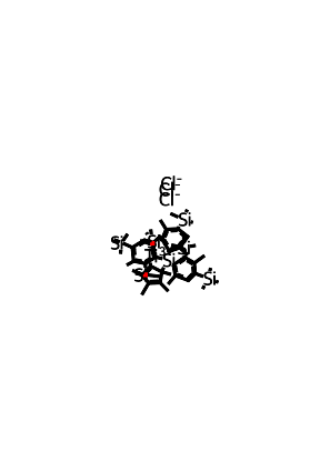 CC1=C(C)C(C)([Si](c2c(C)cc([Si](C)(C)C)c(C)c2[Si](C)(C)C)(c2c(C)cc([Si](C)(C)C)c(C)c2[Si](C)(C)C)c2c(C)cc([Si](C)(C)C)c(C)c2[Si](C)(C)C)[C]([Ti+3])=C1C.[Cl-].[Cl-].[Cl-]